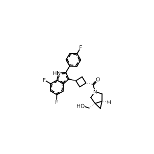 O=C([C@H]1C[C@H](c2c(-c3ccc(F)cc3)[nH]c3c(F)cc(F)cc32)C1)N1C[C@H]2C[C@@]2(CO)C1